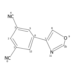 N#Cc1cc(C#N)cc(-c2co[c]n2)c1